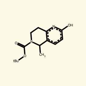 CC1c2ccc(O)nc2CCN1C(=O)OC(C)(C)C